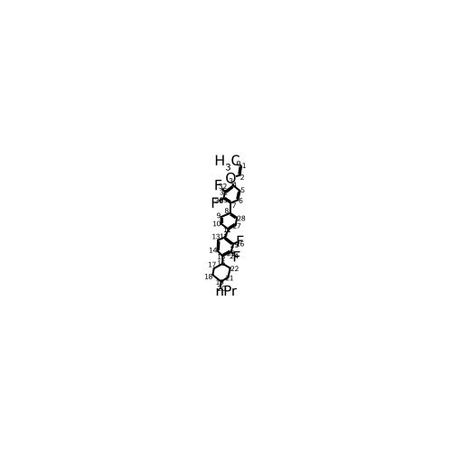 C/C=C\Oc1ccc(-c2ccc(-c3ccc(C4CCC(CCC)CC4)c(F)c3F)cc2)c(F)c1F